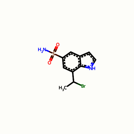 CC(Br)c1cc(S(N)(=O)=O)cc2cc[nH]c12